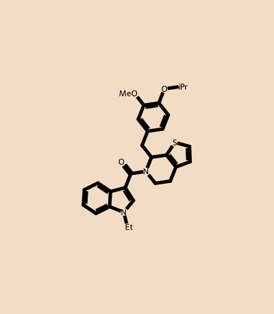 CCn1cc(C(=O)N2CCc3ccsc3C2Cc2ccc(OC(C)C)c(OC)c2)c2ccccc21